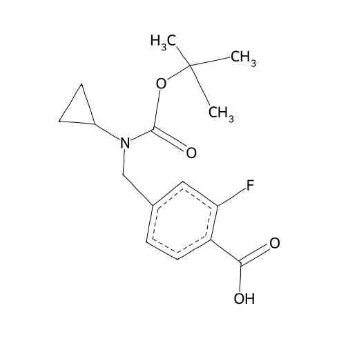 CC(C)(C)OC(=O)N(Cc1ccc(C(=O)O)c(F)c1)C1CC1